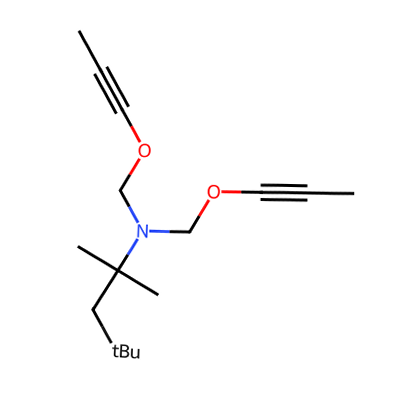 CC#COCN(COC#CC)C(C)(C)CC(C)(C)C